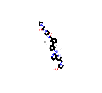 Cc1c(Nc2nccc3cc(CN4CC[C@@H](O)C4)cnc23)cccc1-c1cccc(-c2nc3c(o2)CN(C(=O)CN2CCC2)C3)c1C